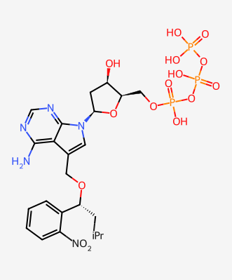 CC(C)C[C@@H](OCc1cn([C@H]2C[C@@H](O)[C@@H](COP(=O)(O)OP(=O)(O)OP(=O)(O)O)O2)c2ncnc(N)c12)c1ccccc1[N+](=O)[O-]